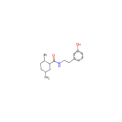 CC1CCC(C(C)C)C(C(=O)NCCc2cccc(O)c2)C1